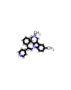 Cc1ccc2c(c1)c1c(n2C=C(c2ccccc2)c2ccncc2)CCN(C)C1